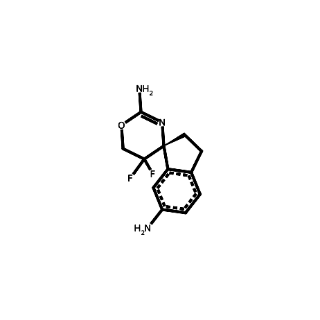 NC1=N[C@@]2(CCc3ccc(N)cc32)C(F)(F)CO1